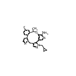 CC1Oc2cc(cnc2N)-c2c(cnn2CC2CC2)Cn2nccc2-c2ccc(F)cc21